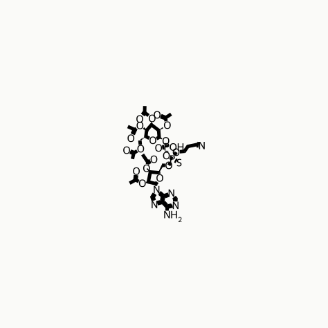 CC(=O)OC[C@H]1O[C@@H](OP(=O)(O)OP(=S)(OCCC#N)OC[C@H]2O[C@@H](n3cnc4c(N)ncnc43)[C@H](OC(C)=O)[C@@H]2OC(C)=O)[C@@H](OC(C)=O)[C@@H](OC(C)=O)[C@@H]1OC(C)=O